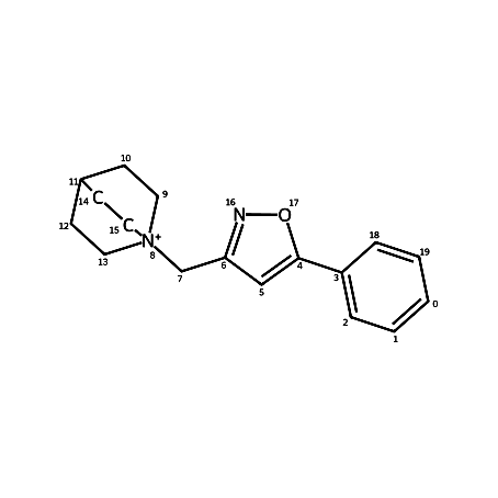 c1ccc(-c2cc(C[N+]34CCC(CC3)CC4)no2)cc1